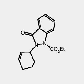 CCOC(=O)n1c2ccccc2c(=O)n1C1C=CCCC1